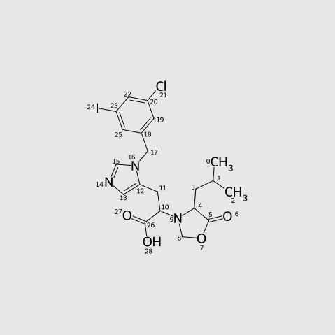 CC(C)CC1C(=O)OCN1C(Cc1cncn1Cc1cc(Cl)cc(I)c1)C(=O)O